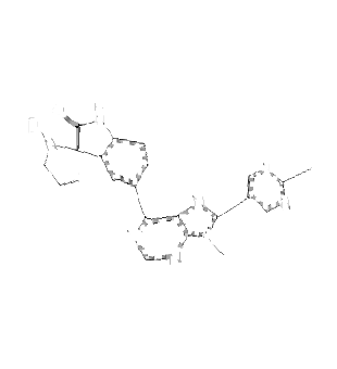 CCN1CCC[C@@]12C(=O)Nc1ccc(-c3ncnc4c3nc(-c3cnc(C)nc3)n4C)cc12